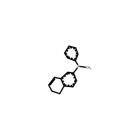 CN(c1ccccc1)c1ccc2c(c1)C=CCC2